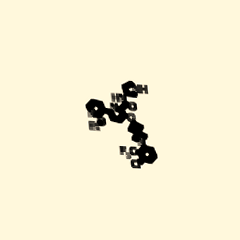 CCOc1ncccc1-c1ccc(OC2CC3(C2)CN(c2cccc(Cl)c2C(F)(F)F)C3)c(C(=O)N[C@@H]2CCNC2)n1